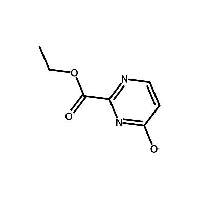 CCOC(=O)c1nccc([O])n1